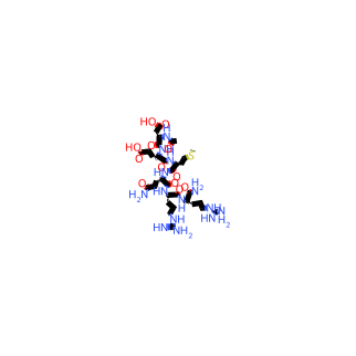 CSCC[C@H](NC(=O)[C@H](CCC(=O)O)NC(=O)[C@H](CC(=O)O)NC(C)=O)C(=O)N[C@@H](CCC(N)=O)C(=O)N[C@@H](CCCNC(=N)N)C(=O)N[C@@H](CCCNC(=N)N)C(N)=O